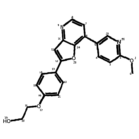 COc1ccc(-c2ccnc3cc(-c4ccc(OCCO)cc4)oc23)cn1